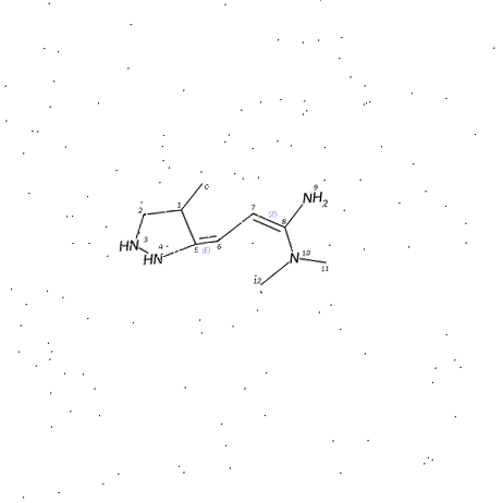 CC1CNN/C1=C/C=C(/N)N(C)C